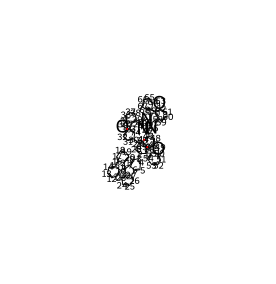 c1cc(-c2ccc3c(c2)C2(c4ccccc4-c4ccccc42)c2ccccc2-3)cc(-c2ccc3oc4cccc(-c5nc(-c6ccc7c(c6)oc6ccccc67)nc(-c6cccc7oc8ccccc8c67)n5)c4c3c2)c1